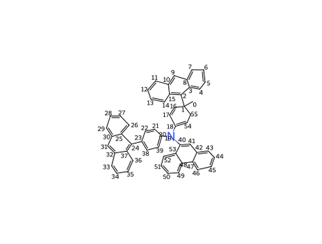 CC1(c2c3ccccc3cc3ccccc23)C=CC(N(c2ccc(-c3c4ccccc4cc4ccccc34)cc2)c2cc3ccccc3c3ccccc23)=CC1